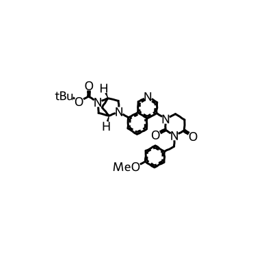 COc1ccc(CN2C(=O)CCN(c3cncc4c(N5C[C@@H]6C[C@H]5CN6C(=O)OC(C)(C)C)cccc34)C2=O)cc1